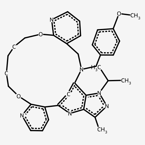 COc1ccc(CN2Cc3cccnc3OCCCCCOc3ncccc3-c3cc2c2c(n3)c(C)nn2C(C)C)cc1